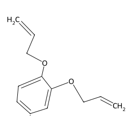 C=CCOc1c[c]ccc1OCC=C